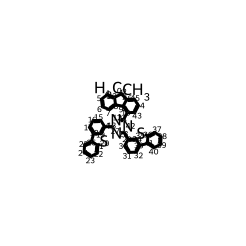 CC1(C)c2ccccc2-c2c(-c3nc(-c4cccc5c4sc4ccccc45)nc(-c4cccc5c4sc4ccccc45)n3)cccc21